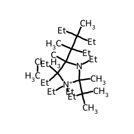 CCN1C(C)(C(C)(CC)C(C)(CC)CC)C(CC)(CC)[N+](CC)(CC)C1(C)C(C)(C)CC.CCl